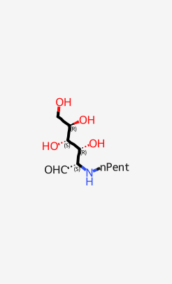 CCCCCN[C@H](C=O)[C@@H](O)[C@H](O)[C@H](O)CO